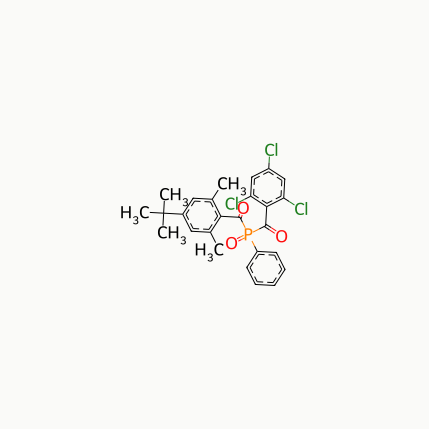 Cc1cc(C(C)(C)C)cc(C)c1C(=O)P(=O)(C(=O)c1c(Cl)cc(Cl)cc1Cl)c1ccccc1